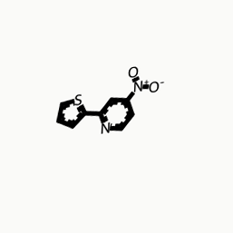 O=[N+]([O-])c1ccnc(-c2cccs2)c1